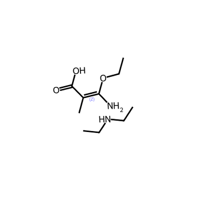 CCNCC.CCO/C(N)=C(/C)C(=O)O